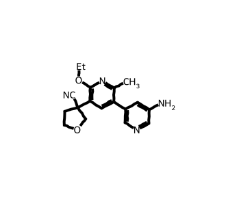 CCOc1nc(C)c(-c2cncc(N)c2)cc1C1(C#N)CCOC1